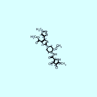 COC(=O)c1sc(N2CC[C@@H](NC(=O)c3[nH]c(C)c(Cl)c3Cl)[C@@H](OC)C2)nc1-c1cn(C)nn1